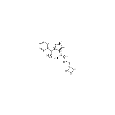 CC(c1ccccc1)n1cncc1C(=O)OCCC1CCC1